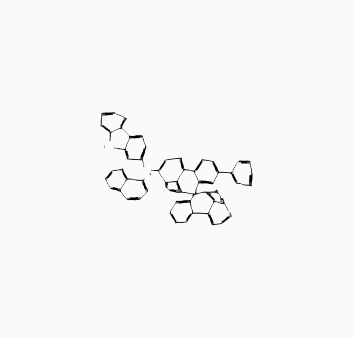 c1ccc(-c2ccc3c(c2)C2(c4ccccc4-c4cccc5cccc2c45)c2cccc4c(N(c5ccc6c(c5)oc5ccccc56)c5cccc6ccccc56)ccc-3c24)cc1